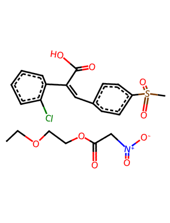 CCOCCOC(=O)C[N+](=O)[O-].CS(=O)(=O)c1ccc(C=C(C(=O)O)c2ccccc2Cl)cc1